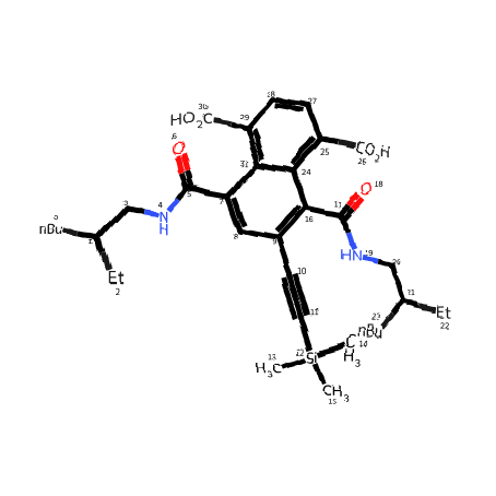 CCCCC(CC)CNC(=O)c1cc(C#C[Si](C)(C)C)c(C(=O)NCC(CC)CCCC)c2c(C(=O)O)ccc(C(=O)O)c12